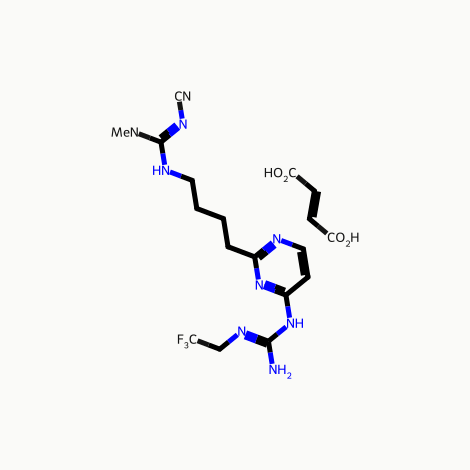 CNC(=NC#N)NCCCCc1nccc(NC(N)=NCC(F)(F)F)n1.O=C(O)C=CC(=O)O